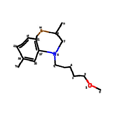 COCCCCN1CC(C)Sc2ccc(C)cc21